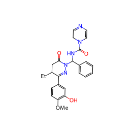 CCC1CC(=O)N(C(NC(=O)N2C=CN=CC2)c2ccccc2)N=C1c1ccc(OC)c(O)c1